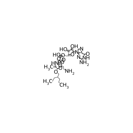 CCCC(CCC)COC(=O)[C@H](C)NP(=O)(OCCN)OP(=O)(O)OC[C@H]1O[C@@H](n2cnc3c(=O)[nH]c(N)nc32)[C@H](O)[C@@H]1O